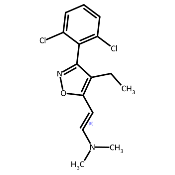 CCc1c(-c2c(Cl)cccc2Cl)noc1/C=C/N(C)C